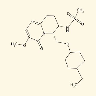 CCC1CCC(OC[C@H]2[C@@H](NS(C)(=O)=O)CCc3ccc(OC)c(=O)n32)CC1